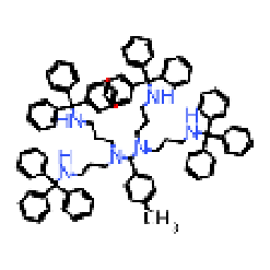 Cc1ccc(C(N(CCCNC(c2ccccc2)(c2ccccc2)c2ccccc2)CCCNC(c2ccccc2)(c2ccccc2)c2ccccc2)N(CCCNC(c2ccccc2)(c2ccccc2)c2ccccc2)CCCNC(c2ccccc2)(c2ccccc2)c2ccccc2)cc1